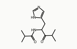 CC(C)C(=O)NC(Cc1cnc[nH]1)C(=O)C(C)C